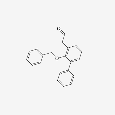 O=CCc1cccc(-c2ccccc2)c1OCc1ccccc1